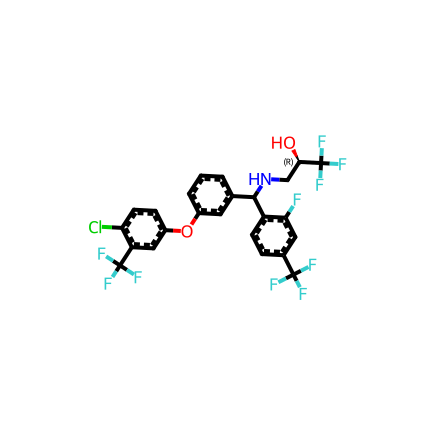 O[C@H](CNC(c1cccc(Oc2ccc(Cl)c(C(F)(F)F)c2)c1)c1ccc(C(F)(F)F)cc1F)C(F)(F)F